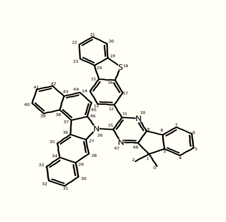 CC1(C)c2ccccc2-c2nc(-c3ccc4c(c3)sc3ccccc34)c(-n3c4cc5ccccc5cc4c4c5ccccc5ccc43)nc21